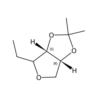 CCC1OC[C@H]2OC(C)(C)O[C@@H]12